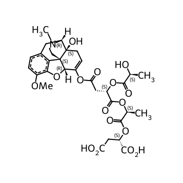 COc1ccc2c3c1O[C@H]1C(OC(=O)C[C@H](OC(=O)[C@H](C)O)C(=O)O[C@@H](C)C(=O)O[C@@H](CC(=O)O)C(=O)O)=CC[C@@]4(O)[C@@H](C2)N(C)CC[C@]314